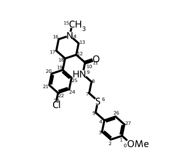 COc1ccc(CSCCNC(=O)C2CN(C)CCC2c2ccc(Cl)cc2)cc1